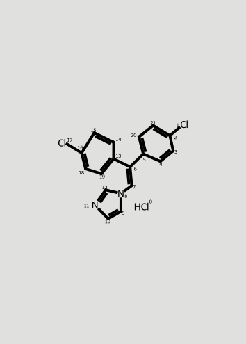 Cl.Clc1ccc(C(=Cn2ccnc2)c2ccc(Cl)cc2)cc1